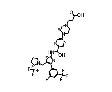 C[C@@H]1CN(CCC(=O)O)CCN1c1cnc(C(O)Nc2nc(-c3cc(F)cc(C(F)(F)F)c3)c(CN3CCC[C@H]3C(F)(F)F)s2)cn1